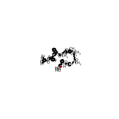 Cc1cc(C(=O)N(C)CCCN(C)C(=O)CO[C@H]2Cc3ccccc3C23CCN(CC[C@@]2(c4ccc(F)cc4)CN(C(=O)c4cc(C(F)(F)F)cc(C(F)(F)F)c4)CO2)CC3)cc(C)c1CN(C)CCCCCC(=O)N(C)CCN1CCC(OC(=O)Nc2ccccc2-c2ccccc2)CC1.Cl.Cl.Cl